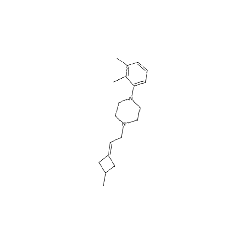 Cc1cccc(N2CCN(CC=C3CC(C)C3)CC2)c1C